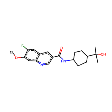 CCOc1cc2ncc(C(=O)NC3CCC(C(C)(C)O)CC3)cc2cc1F